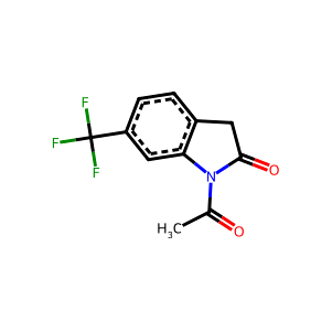 CC(=O)N1C(=O)Cc2ccc(C(F)(F)F)cc21